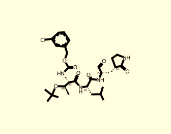 CC(C)C[C@H](NC(=O)[C@@H](NC(=O)OCc1cccc(Cl)c1)[C@@H](C)OC(C)(C)C)C(=O)N[C@H](C=O)C[C@@H]1CCNC1=O